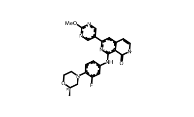 COc1ncc(-c2cc3c(c(Nc4ccc(N5CCO[C@H](C)C5)c(F)c4)n2)C(=O)[N]C=C3)cn1